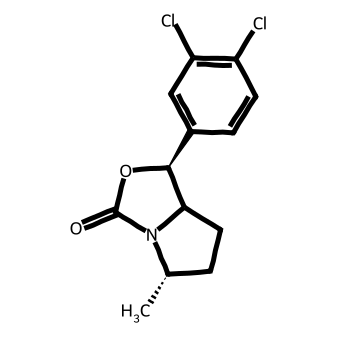 C[C@H]1CCC2[C@H](c3ccc(Cl)c(Cl)c3)OC(=O)N21